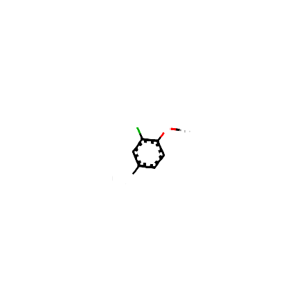 CCCCOc1ccc(C(=O)O)cc1Cl